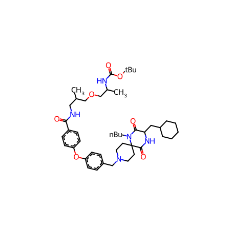 CCCCN1C(=O)C(CC2CCCCC2)NC(=O)C12CCN(Cc1ccc(Oc3ccc(C(=O)NCC(C)COCC(C)NC(=O)OC(C)(C)C)cc3)cc1)CC2